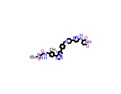 Cc1cc(-c2ncnn3cc(-c4ccc(CN5CCC(c6ccc(N[C@H]7CCC(=O)NC7=O)nn6)CC5)cc4)cc23)ccc1CNC(=O)c1noc(C(C)(C)C)n1